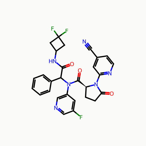 N#Cc1ccnc(N2C(=O)CC[C@H]2C(=O)N(c2cncc(F)c2)C(C(=O)NC2CC(F)(F)C2)c2ccccc2)c1